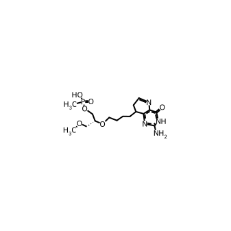 COC[C@H](COP(C)(=O)O)OCCCCC1CC=Nc2c1nc(N)[nH]c2=O